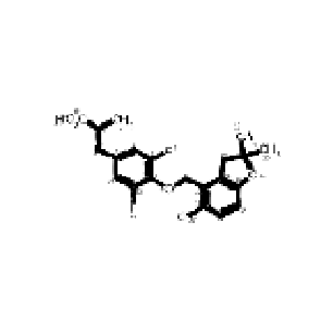 CC(Cc1cc(F)c(OCc2c(Cl)ccc3c2CC(C)(C)O3)c(F)c1)C(=O)O